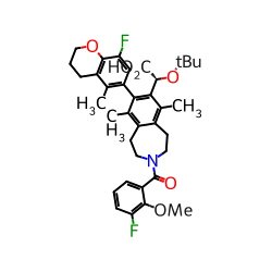 COc1c(F)cccc1C(=O)N1CCc2c(C)c(-c3cc(F)c4c(c3C)CCCO4)c([C@H](OC(C)(C)C)C(=O)O)c(C)c2CC1